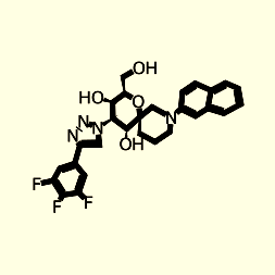 OC[C@H]1O[C@@]2(CCCN(c3ccc4ccccc4c3)C2)[C@H](O)[C@@H](n2cc(-c3cc(F)c(F)c(F)c3)nn2)[C@H]1O